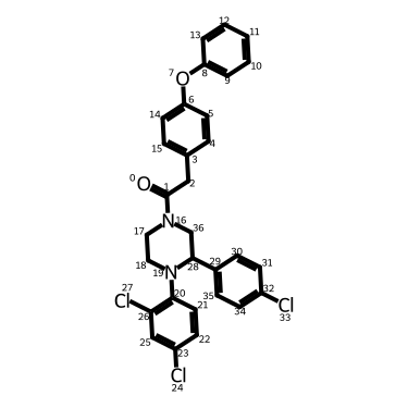 O=C(Cc1ccc(Oc2ccccc2)cc1)N1CCN(c2ccc(Cl)cc2Cl)C(c2ccc(Cl)cc2)C1